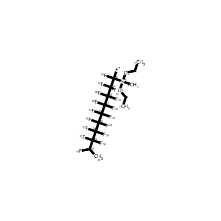 CCO[Si](C)(OCC)C(F)(F)C(F)(F)C(F)(F)C(F)(F)C(F)(F)C(F)(F)C(F)(F)C(F)(F)C(C)F